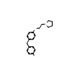 Oc1ccc(Cc2ccc(OCCN3CCCC3)cc2)cc1